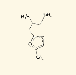 Cc1ccc(CC(C)CN)o1